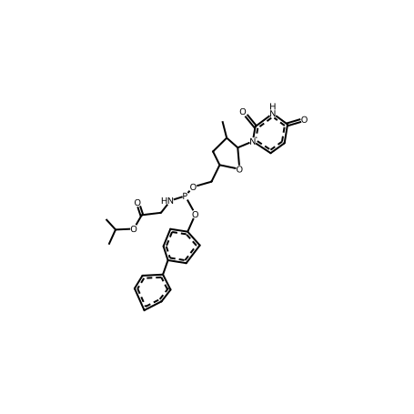 CC(C)OC(=O)CNP(OCC1CC(C)C(n2ccc(=O)[nH]c2=O)O1)Oc1ccc(-c2ccccc2)cc1